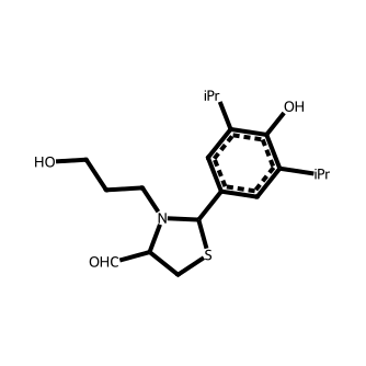 CC(C)c1cc(C2SCC(C=O)N2CCCO)cc(C(C)C)c1O